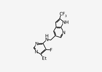 CCc1ncnc(NCc2cnc3[nH]c(C(F)(F)F)cc3c2)c1F